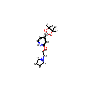 CC1(C)OB(c2ccnc(OCCN3CCCC3)c2)OC1(C)C